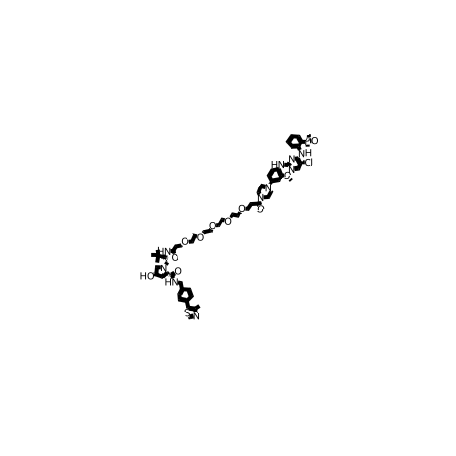 COc1cc(N2CCN(C(=O)CCOCCOCCOCCOCCOCCC(=O)N[C@H](CN3C[C@H](O)C[C@H]3C(=O)NCc3ccc(-c4scnc4C)cc3)C(C)(C)C)CC2)ccc1Nc1ncc(Cl)c(Nc2ccccc2P(C)(C)=O)n1